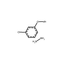 CC(C)Oc1cccc(Cl)c1.NN